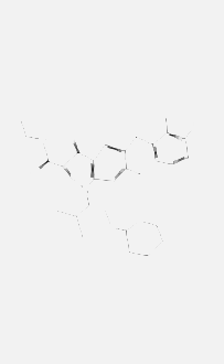 CCOC(=O)c1cn([C@H](COC2CCCCO2)C(C)C)c2cc(F)c(Cc3cccc(Cl)c3F)cc2c1=O